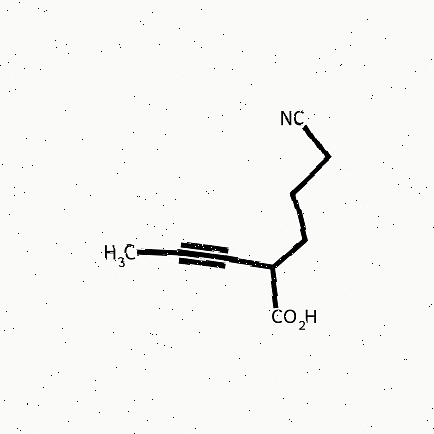 CC#CC(CCCC#N)C(=O)O